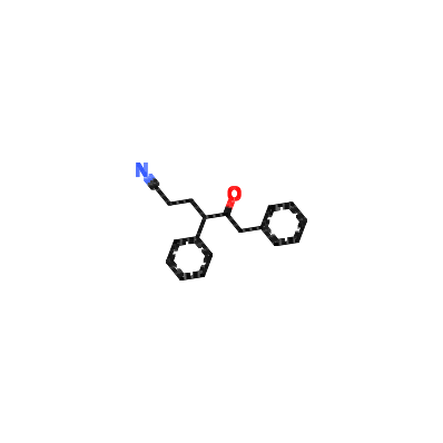 N#CCCC(C(=O)Cc1ccccc1)c1ccccc1